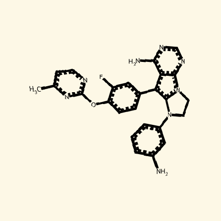 Cc1ccnc(Oc2ccc(-c3c4n(c5ncnc(N)c35)CCN4c3cccc(N)c3)cc2F)n1